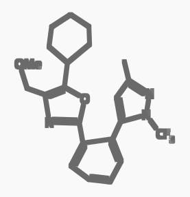 COCc1nc(-c2ccccc2-c2cc(C)nn2C(F)(F)F)oc1C1CCCCC1